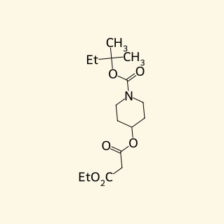 CCOC(=O)CC(=O)OC1CCN(C(=O)OC(C)(C)CC)CC1